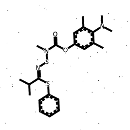 Cc1cc(OC(=O)N(C)SN=C(Sc2ccccc2)C(C)C)cc(C)c1N(C)C